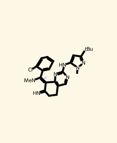 CN/C(=C1\C(=N)CCc2cnc(Nc3cc(C(C)(C)C)nn3C)nc21)c1ccccc1Cl